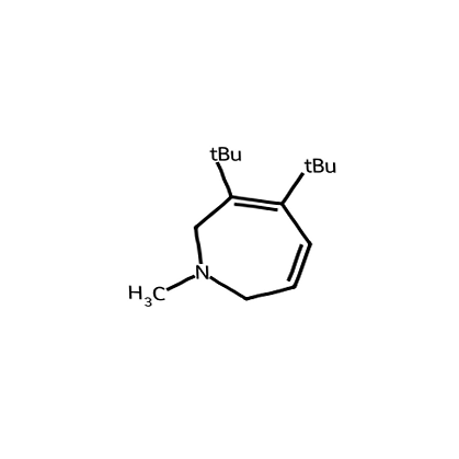 CN1CC=CC(C(C)(C)C)=C(C(C)(C)C)C1